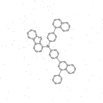 c1ccc(-c2cc(-c3ccc(N(c4ccc(-c5cccc6ccccc56)cc4)c4cccc5c4sc4ccccc45)cc3)cc3ccccc23)cc1